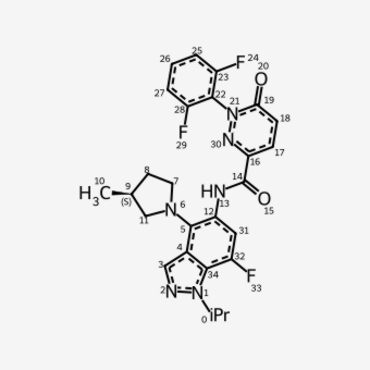 CC(C)n1ncc2c(N3CC[C@H](C)C3)c(NC(=O)c3ccc(=O)n(-c4c(F)cccc4F)n3)cc(F)c21